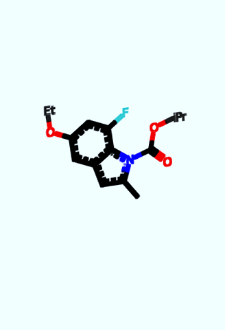 CCOc1cc(F)c2c(c1)cc(C)n2C(=O)OC(C)C